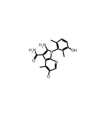 Cc1ccc(O)c(C)c1-n1c(N)c(C(N)=O)c2c(C)c(Cl)cnc21